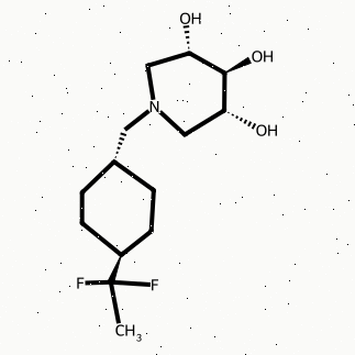 CC(F)(F)[C@H]1CC[C@H](CN2C[C@@H](O)[C@H](O)[C@@H](O)C2)CC1